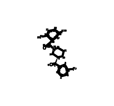 O=C(c1cccc(F)c1)[C@H]1CCCN(C(=O)c2cc(F)ccc2F)C1